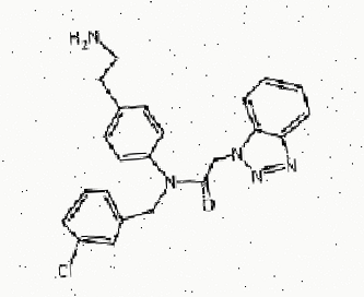 NCCc1ccc(N(Cc2cccc(Cl)c2)C(=O)Cn2nnc3ccccc32)cc1